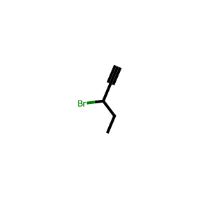 C#CC(Br)CC